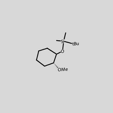 CO[C@@H]1CCCCC1O[Si](C)(C)C(C)(C)C